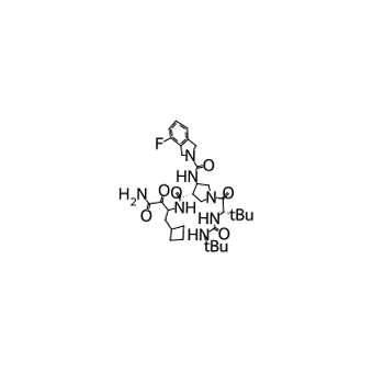 CC(C)(C)NC(=O)N[C@H](C(=O)N1C[C@H](NC(=O)N2Cc3cccc(F)c3C2)[C@@H](C(=O)NC(CC2CCC2)C(=O)C(N)=O)C1)C(C)(C)C